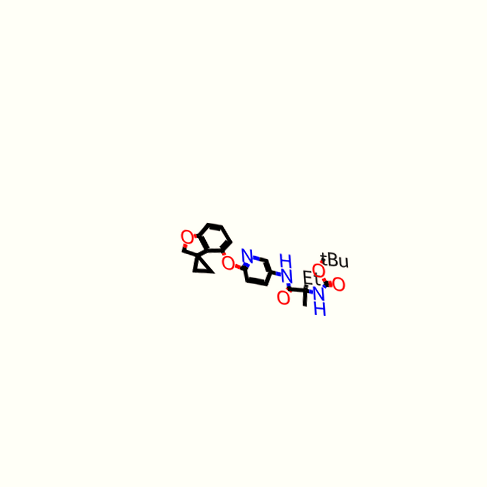 CCC(C)(NC(=O)OC(C)(C)C)C(=O)Nc1ccc(Oc2cccc3c2C2(CC2)CO3)nc1